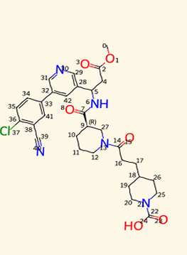 COC(=O)CC(NC(=O)[C@@H]1CCCN(C(=O)CCC2CCN(C(=O)O)CC2)C1)c1cncc(-c2ccc(Cl)c(C#N)c2)c1